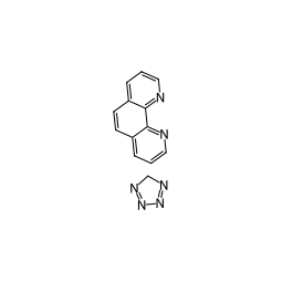 C1N=NN=N1.c1cnc2c(c1)ccc1cccnc12